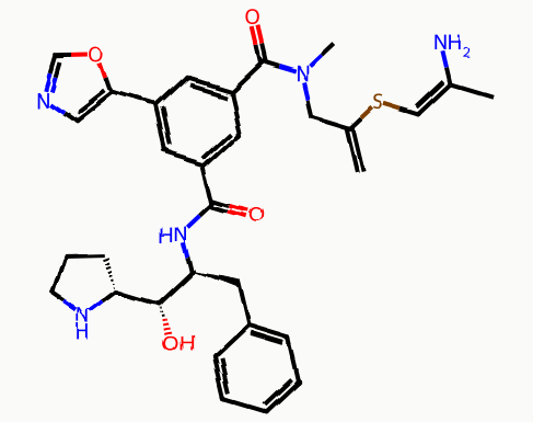 C=C(CN(C)C(=O)c1cc(C(=O)N[C@@H](Cc2ccccc2)[C@H](O)[C@H]2CCCN2)cc(-c2cnco2)c1)S/C=C(/C)N